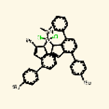 CC1=Cc2c(-c3ccc(C(C)(C)C)cc3)ccc(-c3ccccc3)c2[CH]1[Zr]([Cl])([Cl])([CH]1C(C(C)C)=Cc2c(-c3ccc(C(C)(C)C)cc3)cccc21)[SiH](C)C